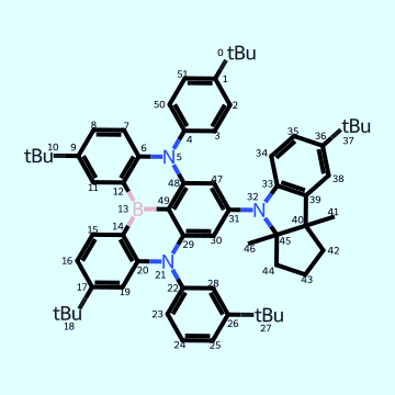 CC(C)(C)c1ccc(N2c3ccc(C(C)(C)C)cc3B3c4ccc(C(C)(C)C)cc4N(c4cccc(C(C)(C)C)c4)c4cc(N5c6ccc(C(C)(C)C)cc6C6(C)CCCC56C)cc2c43)cc1